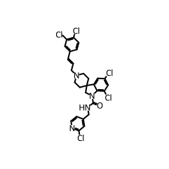 O=C(NCc1ccnc(Cl)c1)N1CC2(CCN(CC=Cc3ccc(Cl)c(Cl)c3)CC2)c2cc(Cl)cc(Cl)c21